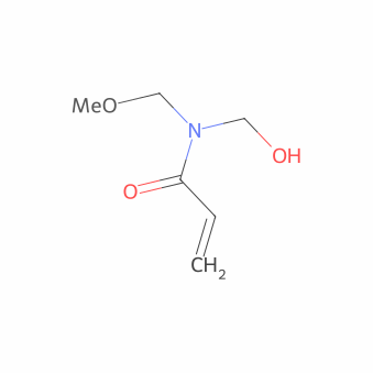 C=CC(=O)N(CO)COC